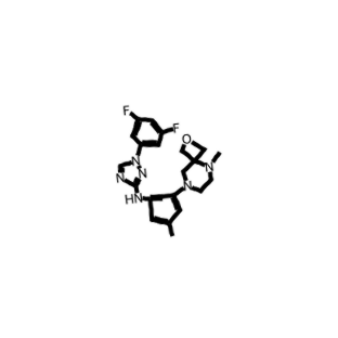 Cc1cc(Nc2ncn(-c3cc(F)cc(F)c3)n2)cc(N2CCN(C)C3(COC3)C2)c1